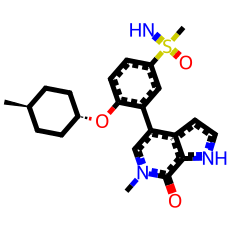 Cn1cc(-c2cc(S(C)(=N)=O)ccc2O[C@H]2CC[C@H](C)CC2)c2cc[nH]c2c1=O